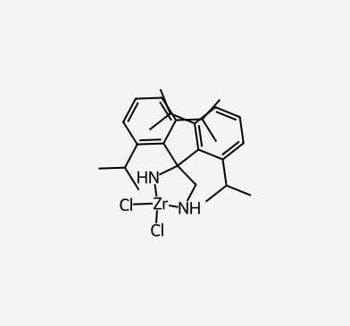 CC(C)c1cccc(C(C)C)c1C1(c2c(C(C)C)cccc2C(C)C)C[NH][Zr]([Cl])([Cl])[NH]1